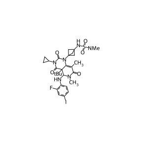 CNS(=O)(=O)NC12CC(N3C(=O)N(C4CC4)C(=O)C4(C(C)(C)C)C3=C(C)C(=O)N(C)C4Nc3ccc(I)cc3F)(C1)C2